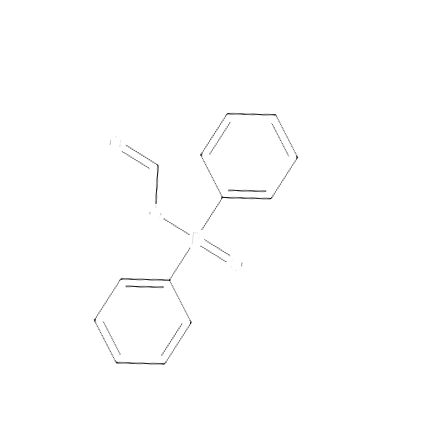 O=[C]OP(=O)(c1ccccc1)c1ccccc1